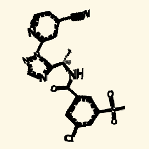 C[C@H](NC(=O)c1cc(Cl)cc(S(C)(=O)=O)c1)c1ncnn1-c1cc(C#N)ccn1